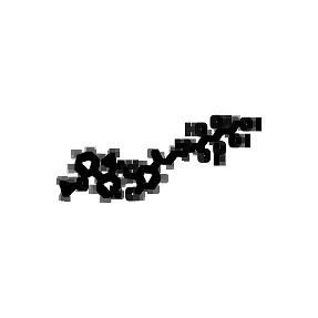 C=C(CCCNC(=O)[C@@H](O)[C@@H](O)[C@H](O)[C@@H](O)CO)c1ccc(Cl)c(CNC2(c3cnccc3-c3ccccc3OC3CC3)CC2)c1